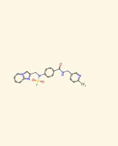 CS(=O)(=O)N(Cc1cn2ccccc2n1)c1ccc(C(=O)NCc2ccc(C(F)(F)F)nc2)cc1